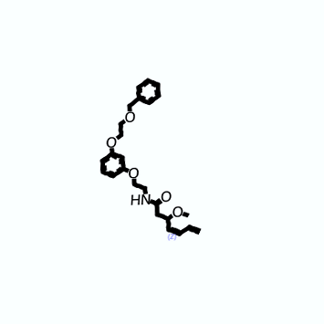 C=C/C=C\C(CC(=O)NCCOc1cccc(OCCOCc2ccccc2)c1)OC